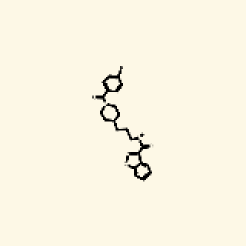 CN(CCCC1CCN(C(=O)c2ccc(F)cc2)CC1)C(=O)c1noc2ccccc12